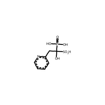 O=P(O)(O)C(O)(Cc1ccccn1)S(=O)(=O)O